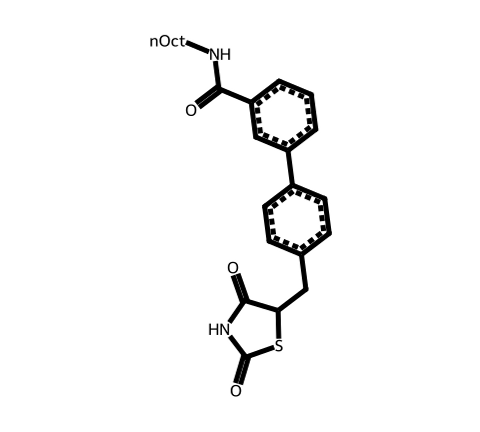 CCCCCCCCNC(=O)c1cccc(-c2ccc(CC3SC(=O)NC3=O)cc2)c1